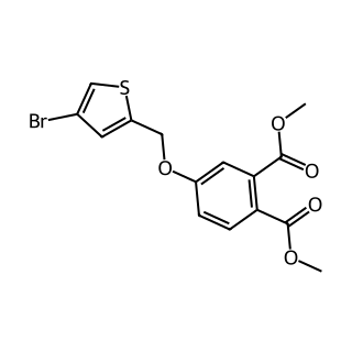 COC(=O)c1ccc(OCc2cc(Br)cs2)cc1C(=O)OC